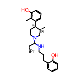 Cc1c(O)cccc1[C@@H]1CCN(C(CC(C)C)NCCCc2ccccc2O)C[C@@H]1C